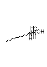 C=CCCCCCCCCCCNNNC(=O)O